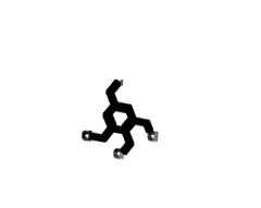 [CH]Cc1cc(CCl)c(CCl)c(CCl)c1